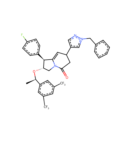 C[C@@H](O[C@H]1CN2C(=O)CC(c3cnn(Cc4ccccc4)c3)C=C2[C@@H]1c1ccc(F)cc1)c1cc(C(F)(F)F)cc(C(F)(F)F)c1